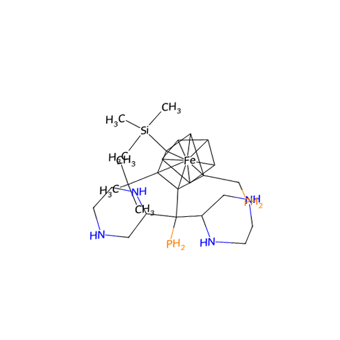 CC(C)(C)[C]12[C]3(C(P)(C4CNCCN4)C4CNCCN4)[C]4(CP)[CH]5[C]1([Si](C)(C)C)[Fe]54321678[CH]2[CH]1[CH]6[CH]7[CH]28